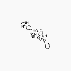 O=C(O)CC(NC(=O)OCc1ccccc1)C(=O)Cn1nnnc1Cc1ccc(-c2ncc[nH]2)cc1